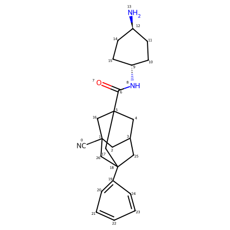 N#CC12CC3CC(C(=O)N[C@H]4CC[C@H](N)CC4)(C1)CC(c1ccccc1)(C3)C2